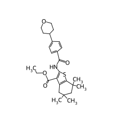 CCOC(=O)c1c(NC(=O)c2ccc(C3CCOCC3)cc2)sc2c1CC(C)(C)CC2(C)C